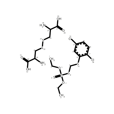 CCOP(=S)(OCC)SCSc1cc(Cl)ccc1Cl.NC(CSSCC(N)C(=O)O)C(=O)O